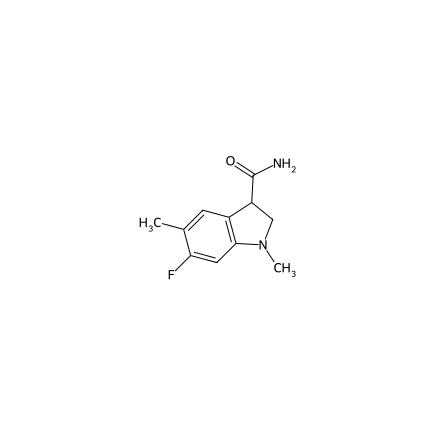 Cc1cc2c(cc1F)N(C)CC2C(N)=O